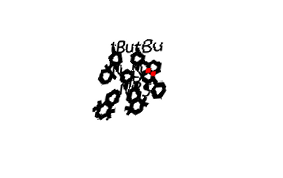 CC(C)(C)c1ccc(N2c3cc(N4c5ccc(C(C)(C)C)cc5C5(C)CCCCC45C)cc4c3B(c3cc5c(cc3N4c3ccc4c(c3)C(C)(C)CCC4(C)C)C(C)(C)CCC5(C)C)c3c2ccc2c3sc3ccccc32)c(-c2ccccc2)c1